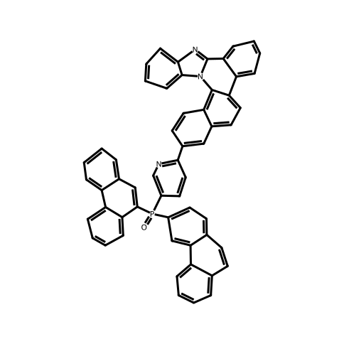 O=P(c1ccc(-c2ccc3c(ccc4c5ccccc5c5nc6ccccc6n5c34)c2)nc1)(c1ccc2ccc3ccccc3c2c1)c1cc2ccccc2c2ccccc12